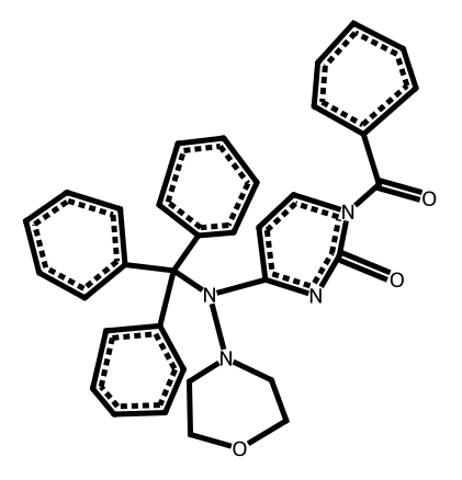 O=C(c1ccccc1)n1ccc(N(N2CCOCC2)C(c2ccccc2)(c2ccccc2)c2ccccc2)nc1=O